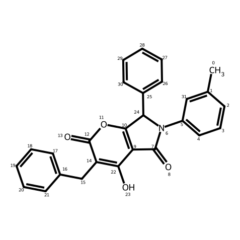 Cc1cccc(N2C(=O)c3c(oc(=O)c(Cc4ccccc4)c3O)C2c2ccccc2)c1